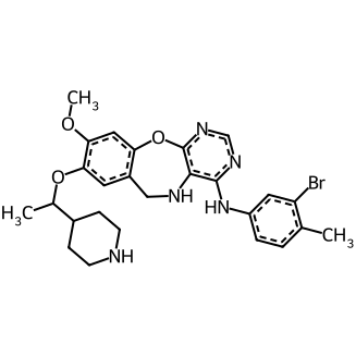 COc1cc2c(cc1OC(C)C1CCNCC1)CNc1c(Nc3ccc(C)c(Br)c3)ncnc1O2